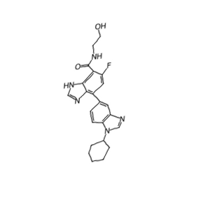 O=C(NCCO)c1c(F)cc(-c2ccc3c(c2)ncn3C2CCCCC2)c2nc[nH]c12